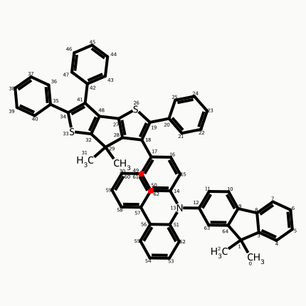 CC1(C)c2ccccc2-c2ccc(N(c3ccc(-c4c(-c5ccccc5)sc5c4C(C)(C)c4sc(-c6ccccc6)c(-c6ccccc6)c4-5)cc3)c3ccccc3-c3ccccc3)cc21